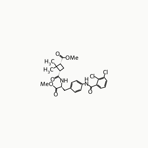 COC(=O)[C@H](Cc1ccc(NC(=O)c2cccc(Cl)c2Cl)cc1)NC(=O)[C@H]1C[C@@H](C(=O)OC)C1(C)C